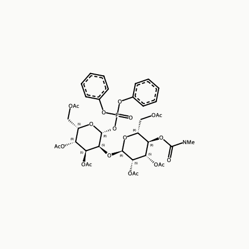 CNC(=O)O[C@H]1[C@H](OC(C)=O)[C@H](OC(C)=O)[C@@H](O[C@@H]2[C@@H](OP(=O)(Oc3ccccc3)Oc3ccccc3)O[C@@H](COC(C)=O)[C@@H](OC(C)=O)[C@@H]2OC(C)=O)O[C@@H]1COC(C)=O